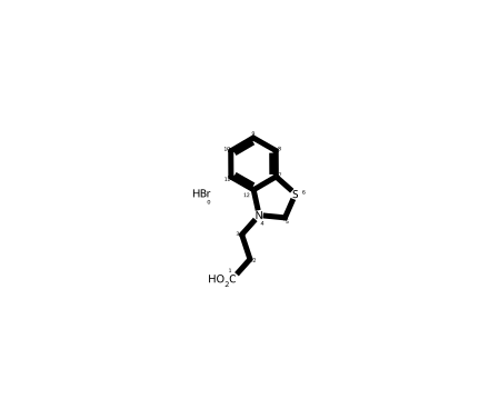 Br.O=C(O)CCN1CSc2ccccc21